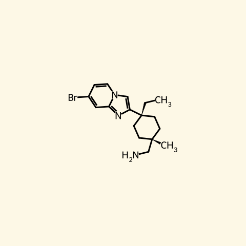 CC[C@]1(c2cn3ccc(Br)cc3n2)CC[C@@](C)(CN)CC1